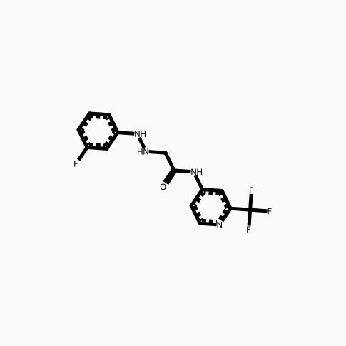 O=C(CNNc1cccc(F)c1)Nc1ccnc(C(F)(F)F)c1